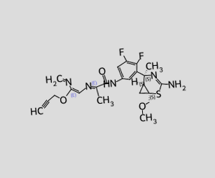 C#CCO/C(=C/N=C(\C)C(=O)Nc1cc(F)c(F)c([C@@]2(C)N=C(N)S[C@@]3(COC)C[C@H]32)c1)N=C